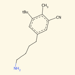 Cc1c(C#N)cc(CCCCN)cc1C(C)(C)C